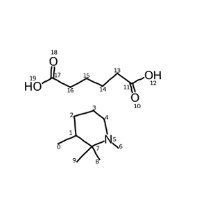 CC1CCCN(C)C1(C)C.O=C(O)CCCCC(=O)O